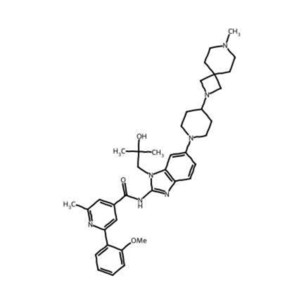 COc1ccccc1-c1cc(C(=O)Nc2nc3ccc(N4CCC(N5CC6(CCN(C)CC6)C5)CC4)cc3n2CC(C)(C)O)cc(C)n1